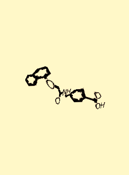 O=C(COc1cccc2ccccc12)NCc1ccc(C(=O)O)cc1